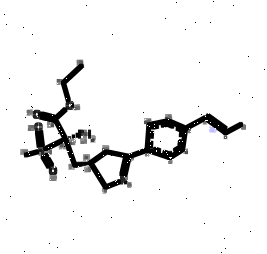 C/C=C/c1ccc(C2=NC[C@@H](C[C@](P)(C(=O)OCC)S(C)(=O)=O)C2)cc1